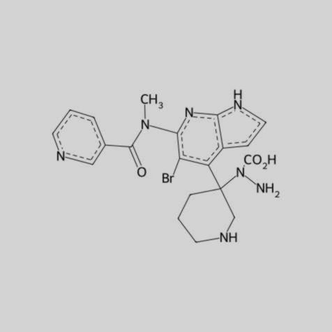 CN(C(=O)c1cccnc1)c1nc2[nH]ccc2c(C2(N(N)C(=O)O)CCCNC2)c1Br